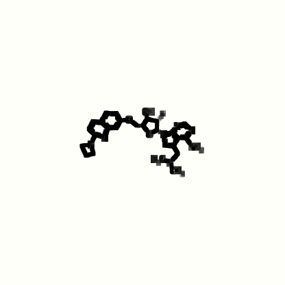 CN(C)Cc1cn([C@@H]2O[C@H](COc3ccc4ccc(N5CCC5)nc4c3)[C@@H](O)[C@@H]2F)c2ncnc(N)c12